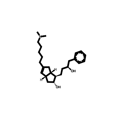 CN(C)CCCCCC1=C[C@H]2C[C@@H](O)[C@H](CC[C@H](O)Cc3ccccc3)[C@H]2C1